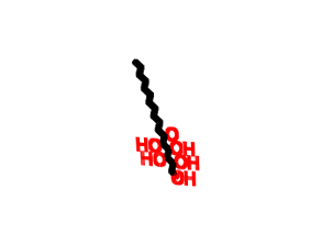 CCCCCCCCCCCC(=O)C(O)C(O)C(O)C(O)CO